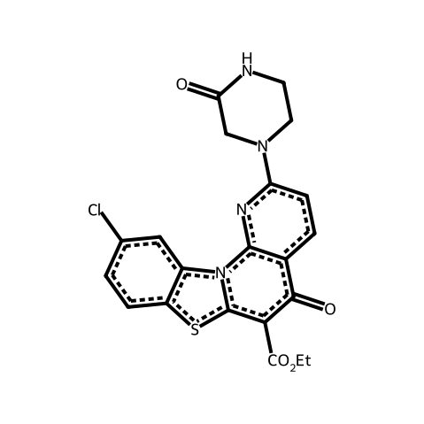 CCOC(=O)c1c(=O)c2ccc(N3CCNC(=O)C3)nc2n2c1sc1ccc(Cl)cc12